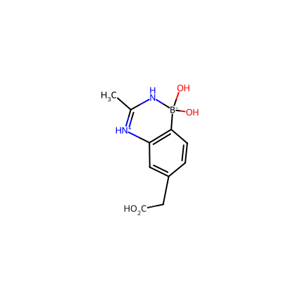 CC1=[NH+]c2cc(CC(=O)O)ccc2[B-](O)(O)N1